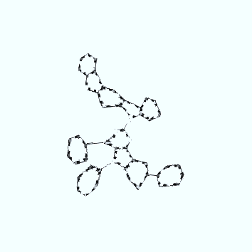 c1ccc(-c2ccc3c(c2)c2nc(-n4c5ccccc5c5cc6c(cc54)oc4ccccc46)nc(-c4ccccc4)c2n3-c2ccccc2)cc1